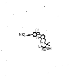 O=C(NCc1ccc(Cl)c(Oc2cc(Cl)cc(C#CCO)c2)c1F)c1[nH]cnc1Cl